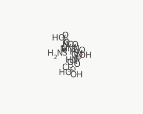 CC(C)(O/N=C(\C(=O)NC1C(=O)N2CC(C(=O)O)(N3CCCN(NC(=O)C(=O)c4ccc(O)c(O)c4Cl)C3=O)S[C@H]12)c1csc(N)n1)C(=O)O